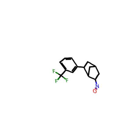 O=NC1CC2CC(c3cccc(C(F)(F)F)c3)C1C2